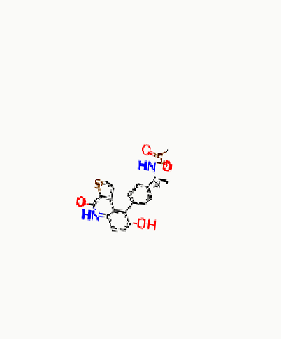 C[C@H](NS(C)(=O)=O)c1ccc(-c2c(O)ccc3[nH]c(=O)c4sccc4c23)cc1